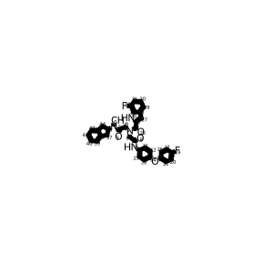 CN(C(=O)CN(CC(=O)Nc1ccc(Oc2ccc(F)cc2)cc1)C(=O)c1cc2cccc(F)c2[nH]1)C1Cc2ccccc2C1